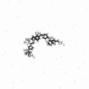 Cc1c(CN2CCC(Nc3ncnc4sc(CC(F)(F)F)cc34)CC2)ccc2c1cc(C#N)n2CC(C)N1CCC(NS(C)(=O)=O)C1